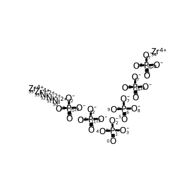 O=P([O-])([O-])[O-].O=P([O-])([O-])[O-].O=P([O-])([O-])[O-].O=P([O-])([O-])[O-].O=P([O-])([O-])[O-].O=P([O-])([O-])[O-].[Ni+2].[Ni+2].[Ni+2].[Zr+4].[Zr+4].[Zr+4]